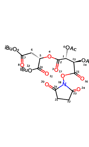 CC(=O)O[C@@H](C(=O)O[C@@H](CC(=O)OCC(C)C)C(=O)OCC(C)C)[C@@H](OC(C)=O)C(=O)ON1C(=O)CCC1=O